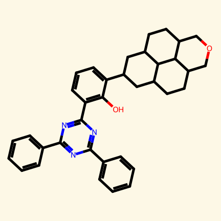 Oc1c(-c2nc(-c3ccccc3)nc(-c3ccccc3)n2)cccc1C1CC2CCC3COCC4CCC(C1)C2C34